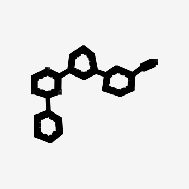 N#Cc1cccc(-c2cccc(-c3ncnc(-c4ccccc4)n3)c2)c1